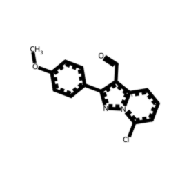 COc1ccc(-c2nn3c(Cl)cccc3c2C=O)cc1